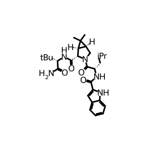 CC(C)C[C@H](NC(=O)c1cc2ccccc2[nH]1)C(=O)N1C[C@H]2[C@@H]([C@H]1C(=O)N[C@H](C(N)=O)C(C)(C)C)C2(C)C